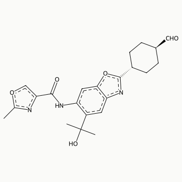 Cc1nc(C(=O)Nc2cc3oc([C@H]4CC[C@H](C=O)CC4)nc3cc2C(C)(C)O)co1